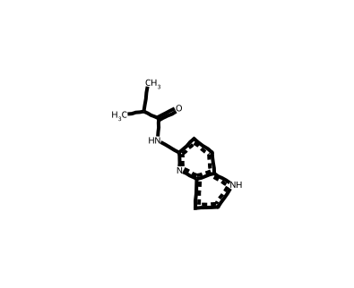 CC(C)C(=O)Nc1ccc2[nH]ccc2n1